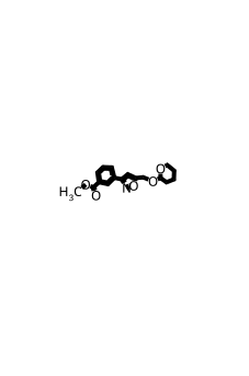 COC(=O)c1cccc(-c2cc(COC3CCCCO3)on2)c1